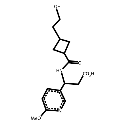 COc1ccc(C(CC(=O)O)NC(=O)C2CC(CCO)C2)cn1